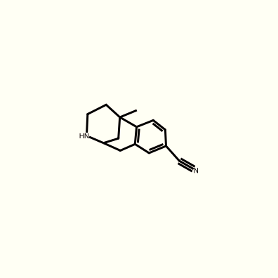 CC12CCNC(Cc3cc(C#N)ccc31)C2